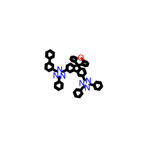 c1ccc(-c2cccc(-c3nc(-c4ccccc4)nc(-c4ccc5c(c4)-c4cc(-c6nc(-c7ccccc7)nc(-c7ccccc7)n6)ccc4C54c5ccccc5Oc5ccccc54)n3)c2)cc1